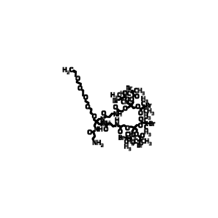 C=CCOCCOCCOCCOCCOCC(CNC(=O)CCN)(CNC(=O)CCNC(=O)COCC(COC(=O)C(C)(C)Br)(COC(=O)C(C)(C)Br)COC(=O)C(C)(C)Br)CNC(=O)CCNC(=O)COCC(COC(=O)C(C)(C)Br)(COC(=O)C(C)(C)Br)COC(=O)C(C)(C)Br